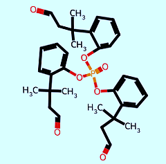 CC(C)(CC=O)c1ccccc1OP(=O)(Oc1ccccc1C(C)(C)CC=O)Oc1ccccc1C(C)(C)CC=O